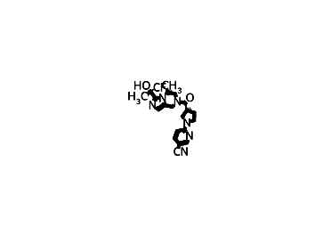 C[C@H]1CN(C(=O)[C@H]2CCN(c3ccc(C#N)cn3)C2)Cc2cnc([C@@](C)(O)C(F)(F)F)n21